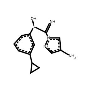 N=C(N(O)c1cccc(C2CC2)c1)n1cc(N)cn1